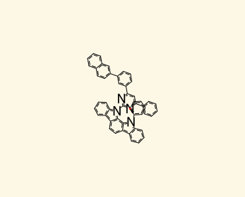 c1ccc(-c2cc(-c3cccc(-c4ccc5ccccc5c4)c3)nc(-n3c4ccccc4c4ccc5c6ccccc6n(-c6ccccc6)c5c43)n2)cc1